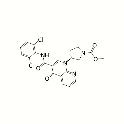 COC(=O)N1CC[C@H](n2cc(C(=O)Nc3c(Cl)cccc3Cl)c(=O)c3cccnc32)C1